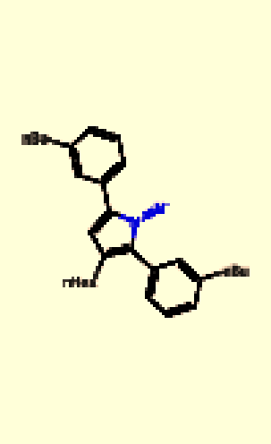 CCCCCCC1=C(c2cccc(CCCC)c2)[N+](=[N-])C(c2cccc(CCCC)c2)=C1